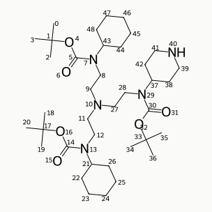 CC(C)(C)OC(=O)N(CCN(CCN(C(=O)OC(C)(C)C)C1CCCCC1)CCN(C(=O)OC(C)(C)C)C1CCNCC1)C1CCCCC1